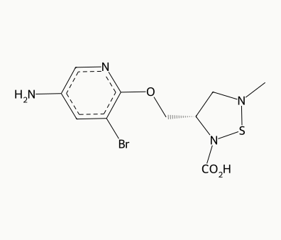 CN1C[C@@H](COc2ncc(N)cc2Br)N(C(=O)O)S1